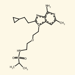 Cc1cc2c(nc(CCC3CC3)n2CCOCCNS(=O)(=O)C(C)C)c(N)n1